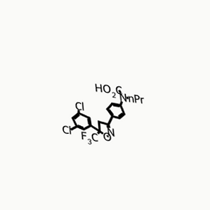 CCCN(C(=O)O)c1ccc(C2=NOC(c3cc(Cl)cc(Cl)c3)(C(F)(F)F)C2)cc1